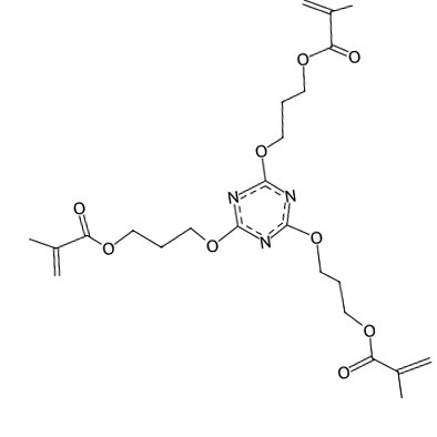 C=C(C)C(=O)OCCCOc1nc(OCCCOC(=O)C(=C)C)nc(OCCCOC(=O)C(=C)C)n1